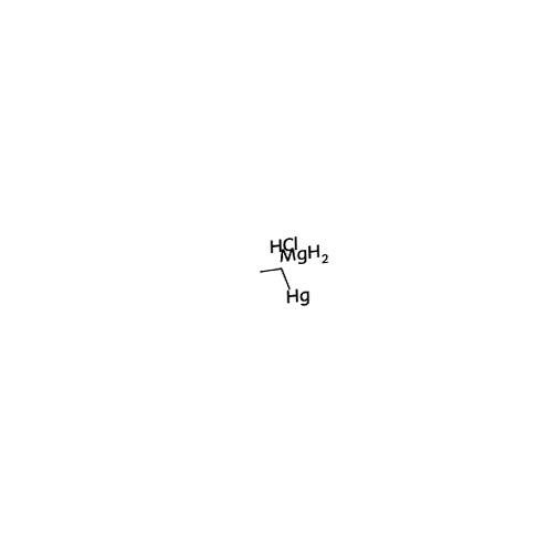 C[CH2][Hg].Cl.[MgH2]